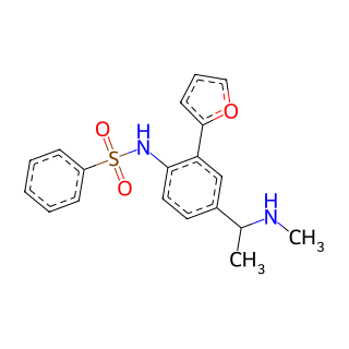 CNC(C)c1ccc(NS(=O)(=O)c2ccccc2)c(-c2ccco2)c1